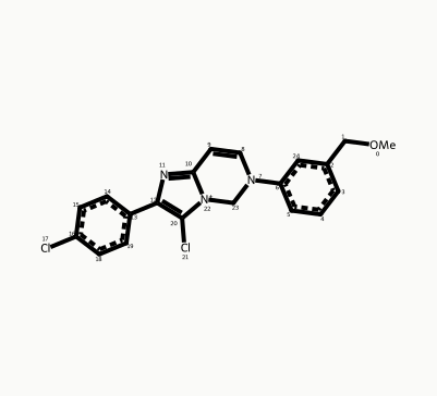 COCc1cccc(N2C=CC3=NC(c4ccc(Cl)cc4)=C(Cl)[N+]3C2)c1